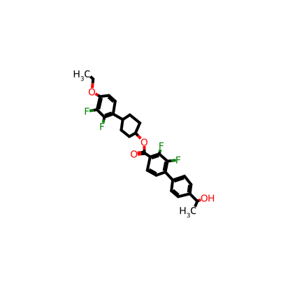 CCOc1ccc(C2CCC(OC(=O)c3ccc(-c4ccc(C(C)O)cc4)c(F)c3F)CC2)c(F)c1F